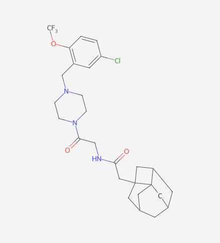 O=C(CC12CC3CC4CC(C1)C2(C4)C3)NCC(=O)N1CCN(Cc2cc(Cl)ccc2OC(F)(F)F)CC1